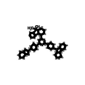 CC1(C)c2ccccc2-c2c(-c3cc(-c4ccc(-c5cc6ccccc6s5)cc4)nc(-c4ccc(-n5c6ccccc6c6ccccc65)cc4)n3)cccc21